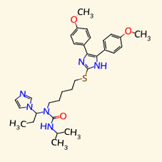 CCC(N(CCCCCSc1nc(-c2ccc(OC)cc2)c(-c2ccc(OC)cc2)[nH]1)C(=O)NC(C)C)n1ccnc1